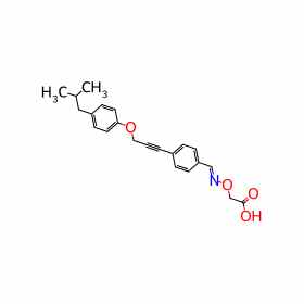 CC(C)Cc1ccc(OCC#Cc2ccc(C=NOCC(=O)O)cc2)cc1